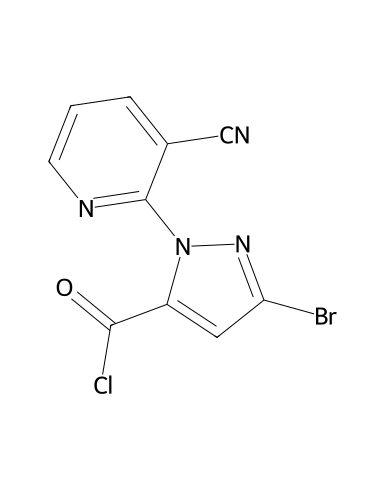 N#Cc1cccnc1-n1nc(Br)cc1C(=O)Cl